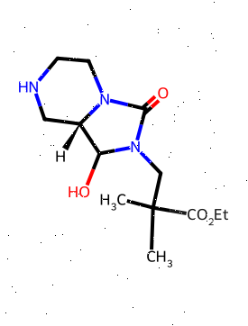 CCOC(=O)C(C)(C)CN1C(=O)N2CCNC[C@H]2C1O